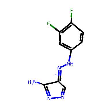 NC1=NN=C/C1=N\Nc1ccc(F)c(F)c1